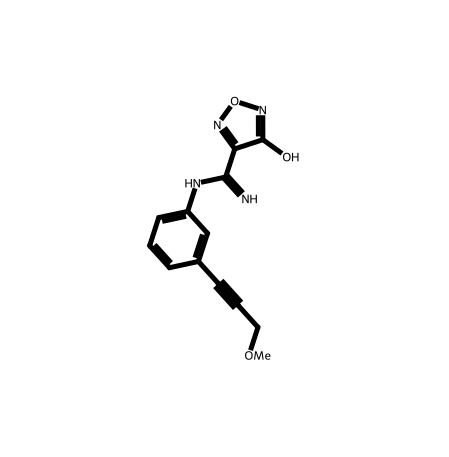 COCC#Cc1cccc(NC(=N)c2nonc2O)c1